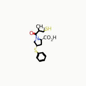 CC(CS)C(=O)N1C[C@@H](Sc2ccccc2)C[C@H]1C(=O)O